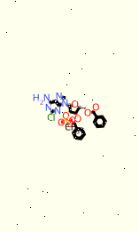 Nc1nc(Cl)nc2c1ncn2[C@@H]1O[C@H](COC(=O)c2ccccc2)C(OC(=O)c2ccccc2)C1OS(=O)(=O)C(F)(F)F